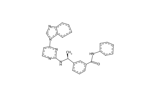 C[C@H](Nc1nccc(-n2cnc3ccccc32)n1)c1cccc(C(=O)Nc2ccccc2)c1